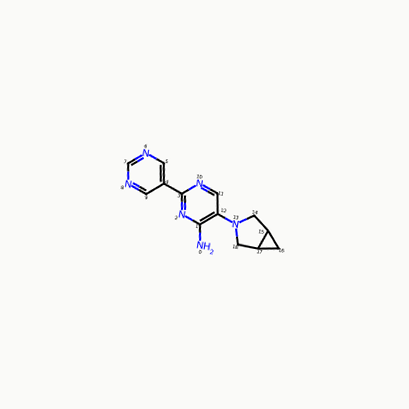 Nc1nc(-c2cncnc2)ncc1N1CC2CC2C1